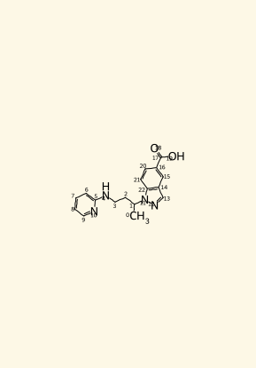 CC(CCNc1ccccn1)n1ncc2cc(C(=O)O)ccc21